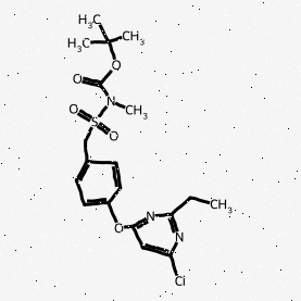 CCc1nc(Cl)cc(Oc2ccc(CS(=O)(=O)N(C)C(=O)OC(C)(C)C)cc2)n1